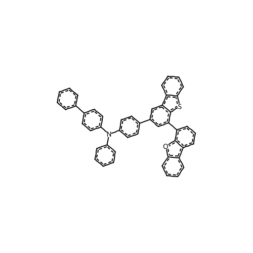 c1ccc(-c2ccc(N(c3ccccc3)c3ccc(-c4cc(-c5cccc6c5oc5ccccc56)c5sc6ccccc6c5c4)cc3)cc2)cc1